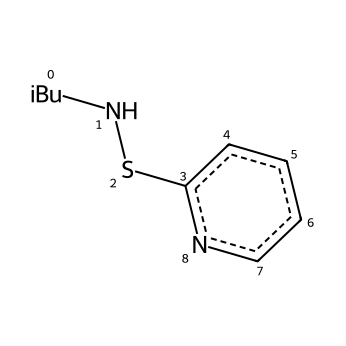 CCC(C)NSc1ccccn1